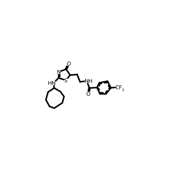 O=C(NCCC1SC(NC2CCCCCCC2)=NC1=O)c1ccc(C(F)(F)F)cc1